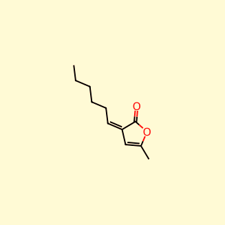 CCCCCC=C1C=C(C)OC1=O